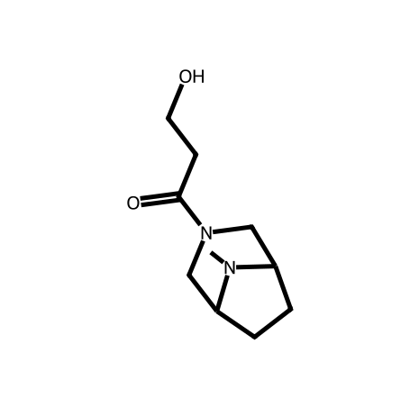 CN1C2CCC1CN(C(=O)CCO)C2